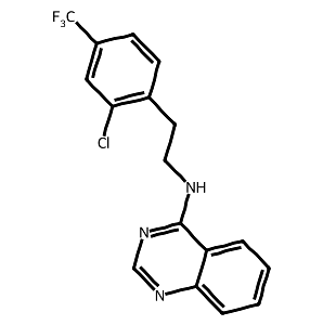 FC(F)(F)c1ccc(CCNc2ncnc3ccccc23)c(Cl)c1